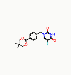 CC1(C)COB(c2ccc(Cn3cc(F)c(=O)[nH]c3=O)cc2)OC1